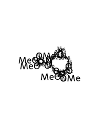 COc1cc(C(=O)N(C)C2CCCOc3cc(cc(OC)c3OC)C(=O)OCCCN3CCN(CC2)CC(C)(C)C3)cc(OC)c1OC